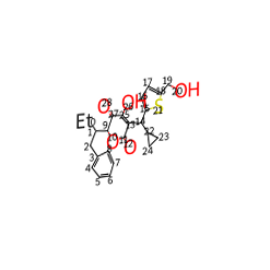 CCC(Cc1ccccc1)C1OC(=O)C(C(c2ccc(CO)s2)C2CC2)=C(O)C1=O